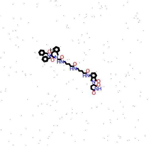 O=C(CCCCNC(=O)CN1Cc2ccccc2[C@@H]2OC(c3ccccc3)=N[C@]2(Cc2ccccc2)C1=O)NCCCCC(=O)Nc1cccc2c1CN(C1CCC(=O)NC1=O)C2=O